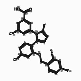 Cc1ccc(-c2ccc(Cl)cc2OCc2ccc(F)cc2F)n1-c1cc(Cl)cc(C(=O)O)c1